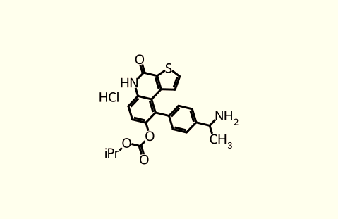 CC(C)OC(=O)Oc1ccc2[nH]c(=O)c3sccc3c2c1-c1ccc(C(C)N)cc1.Cl